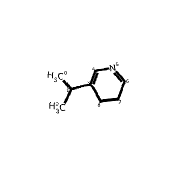 CC(C)C1=CN=CCC1